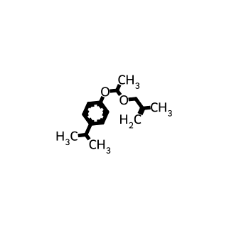 C=C(C)COC(C)Oc1ccc(C(C)C)cc1